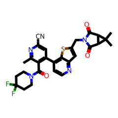 Cc1nc(C#N)cc(-c2ccnc3cc(CN4C(=O)C5C(C4=O)C5(C)C)sc23)c1C(=O)N1CCC(F)(F)CC1